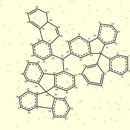 C1=C=CC(C2(c3ccccc3)c3ccccc3-c3ccc(N(c4cccc5c4C=CC4CC=CC=C54)c4cccc5c4-c4ccccc4C54c5ccccc5-c5ccccc54)cc32)=CC=1